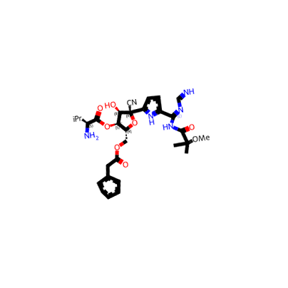 COC(C)(C)C(=O)N/C(=N/C=N)c1ccc([C@]2(C#N)O[C@H](COC(=O)Cc3ccccc3)[C@@H](OC(=O)[C@@H](N)C(C)C)[C@H]2O)[nH]1